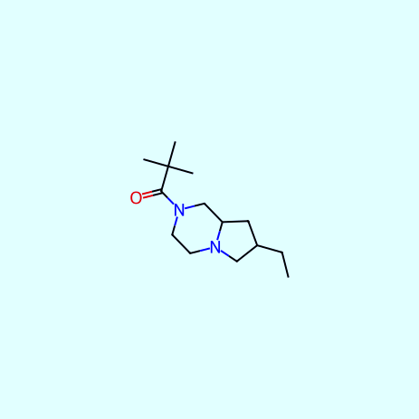 CCC1CC2CN(C(=O)C(C)(C)C)CCN2C1